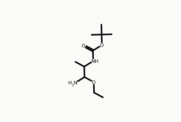 CCOC(N)C(C)NC(=O)OC(C)(C)C